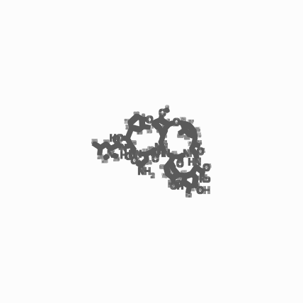 COc1c2cc3cc1Oc1ccc(cc1C)C(O)C(NC(=O)C(CC(C)C)N(C)C)C(=O)NC(CC(N)=O)C(=O)NC3C(=O)NC1C(=O)NC(C(=O)NC([C](=O)[Rb])c3cc(O)c(C)c(O)c3-c3cc1ccc3O)C(C)c1ccc(c(C)c1)O2